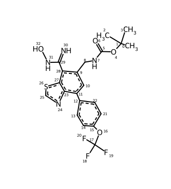 CC(C)(C)OC(=O)NCc1cc(-c2ccc(OC(F)(F)F)cc2)c2ncsc2c1C(=N)NO